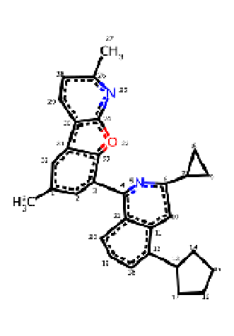 Cc1cc(-c2nc(C3CC3)cc3c(C4CCCC4)cccc23)c2oc3nc(C)ccc3c2c1